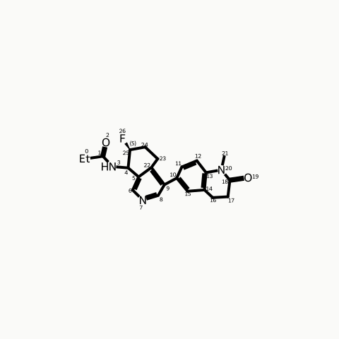 CCC(=O)NC1c2cncc(-c3ccc4c(c3)CCC(=O)N4C)c2CC[C@@H]1F